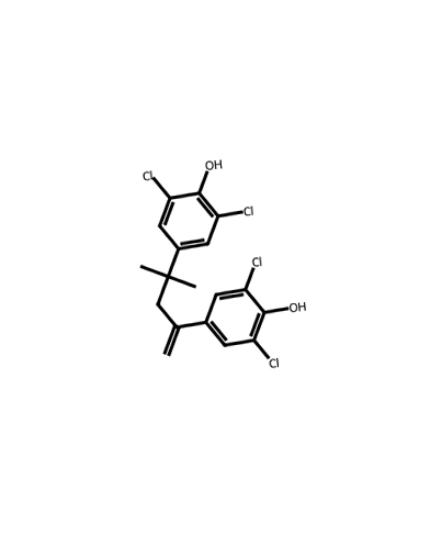 C=C(CC(C)(C)c1cc(Cl)c(O)c(Cl)c1)c1cc(Cl)c(O)c(Cl)c1